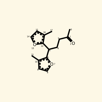 CC(=O)CCC(c1occc1C)c1occc1C